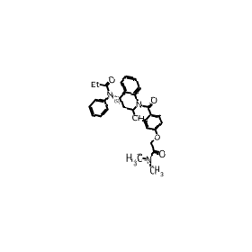 CCC(=O)N(c1ccccc1)[C@H]1CC(C)N(C(=O)c2ccc(OCC(=O)N(C)C)cc2)c2ccccc21